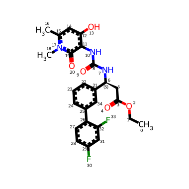 CCOC(=O)C[C@H](NC(=O)Nc1c(O)cc(C)n(C)c1=O)c1cccc(-c2ccc(F)cc2F)c1